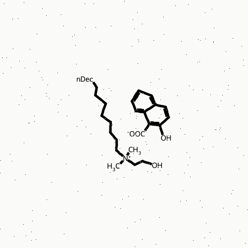 CCCCCCCCCCCCCCCCCC[N+](C)(C)CCO.O=C([O-])c1c(O)ccc2ccccc12